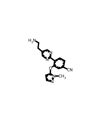 Cn1nccc1Oc1cc(C#N)ccc1-c1ncc(CCN)cn1